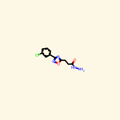 NNC(=O)CCc1nc(-c2cccc(Cl)c2)no1